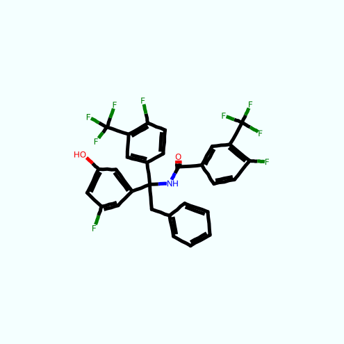 O=C(NC(Cc1ccccc1)(c1cc(O)cc(F)c1)c1ccc(F)c(C(F)(F)F)c1)c1ccc(F)c(C(F)(F)F)c1